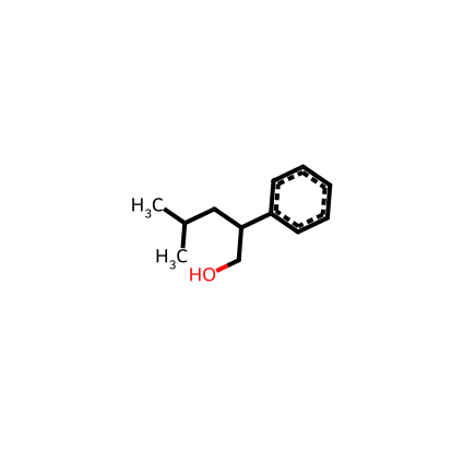 CC(C)CC(CO)c1ccccc1